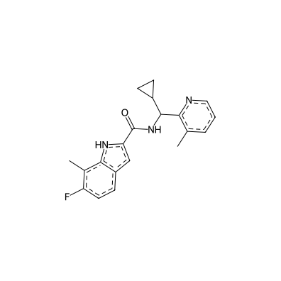 Cc1cccnc1C(NC(=O)c1cc2ccc(F)c(C)c2[nH]1)C1CC1